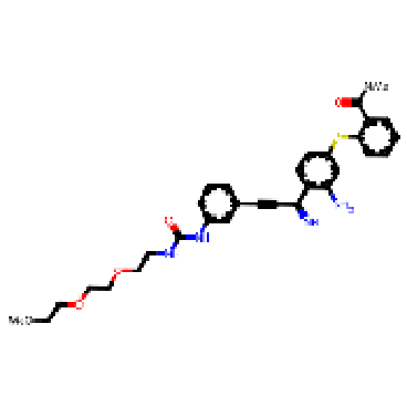 CNC(=O)c1ccccc1Sc1ccc(C(=N)C#Cc2cccc(NC(=O)NCCOCCOCCOC)c2)c(N)c1